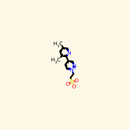 Cc1cnc(-c2cc[n+](CCS(=O)(=O)[O-])nc2)c(C)c1